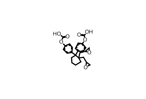 O=C(O)Oc1ccc(C2(c3ccc(OC(=O)O)cc3)CCCCC2(CC2CO2)CC2CO2)cc1